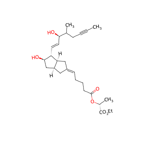 CC#CCC(C)[C@H](O)C=C[C@@H]1[C@H]2CC(=CCCCC(=O)O[C@H](C)C(=O)OCC)C[C@H]2C[C@H]1O